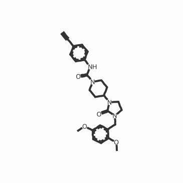 C#Cc1ccc(NC(=O)N2CCC(N3CCN(Cc4cc(OC)ccc4OC)C3=O)CC2)cc1